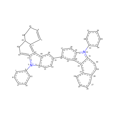 C1=CC2=c3c(n(-c4ccccc4)c4ccc(-c5ccc6c(c5)c5c7ccccc7ccc5n6-c5ccccc5)cc34)=CCC2CC1